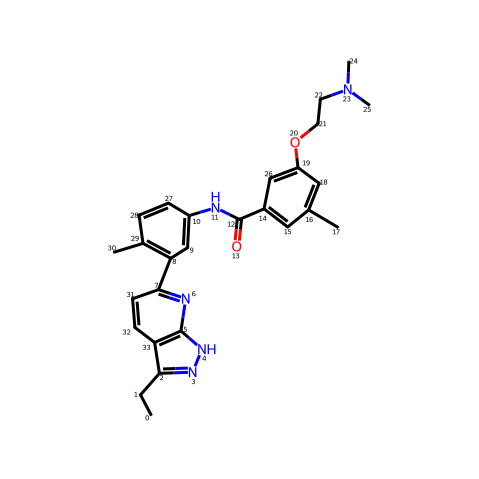 CCc1n[nH]c2nc(-c3cc(NC(=O)c4cc(C)cc(OCCN(C)C)c4)ccc3C)ccc12